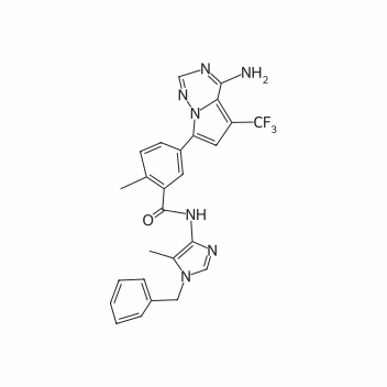 Cc1ccc(-c2cc(C(F)(F)F)c3c(N)ncnn23)cc1C(=O)Nc1ncn(Cc2ccccc2)c1C